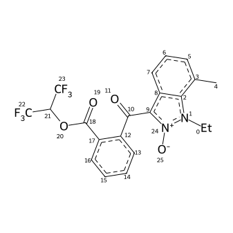 CCn1c2c(C)cccc2c(C(=O)c2ccccc2C(=O)OC(C(F)(F)F)C(F)(F)F)[n+]1[O-]